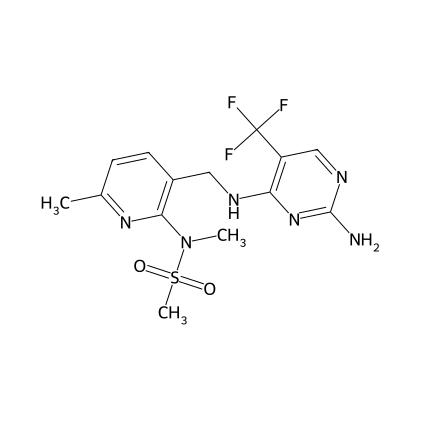 Cc1ccc(CNc2nc(N)ncc2C(F)(F)F)c(N(C)S(C)(=O)=O)n1